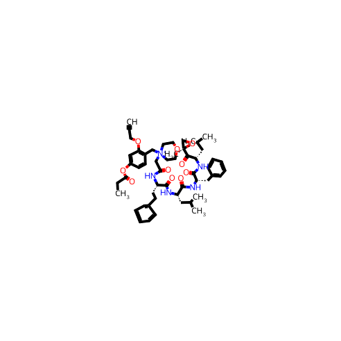 C#CCOc1cc(OC(=O)CC)ccc1C[N+]1(CC(=O)N[C@@H](CCc2ccccc2)C(=O)N[C@@H](CC(C)C)C(=O)N[C@@H](Cc2ccccc2)C(=O)N[C@@H](CC(C)C)C(=O)[C@@]2(C)CO2)CCOCC1